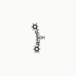 OC(COOCc1ccccc1)COOCc1ccccc1